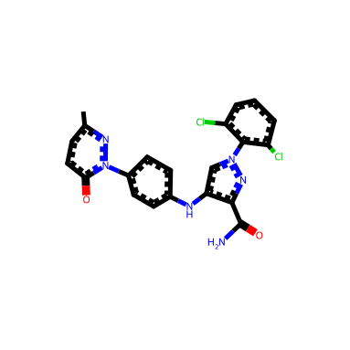 Cc1ccc(=O)n(-c2ccc(Nc3cn(-c4c(Cl)cccc4Cl)nc3C(N)=O)cc2)n1